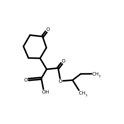 CCC(C)OC(=O)C(C(=O)O)C1CCCC(=O)C1